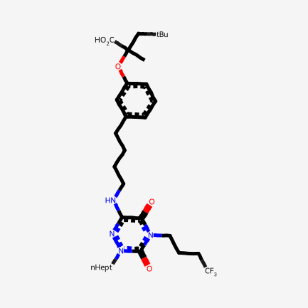 CCCCCCCn1nc(NCCCCc2cccc(OC(C)(CC(C)(C)C)C(=O)O)c2)c(=O)n(CCCC(F)(F)F)c1=O